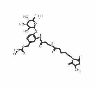 CCNC(=O)OCc1ccc(O[C@@H]2OC(C(=O)O)[C@@H](O)[C@H](O)C2O)c(NC(=O)CCNC(=O)CCCCCN2C(=O)CC(C)C2=O)c1